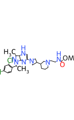 COC(=O)NCCN1CCCC(C2CN(C3=CNC4C(C)=NN(C(C)c5ccc(Cl)cc5Cl)C4=N3)C2)C1